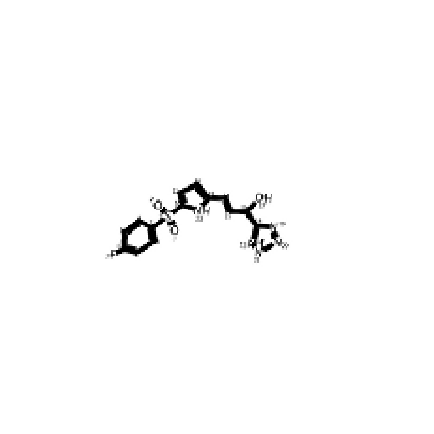 O=S(=O)(c1ccc(F)cc1)c1ccc(C=CC(O)c2nn[nH]n2)[nH]1